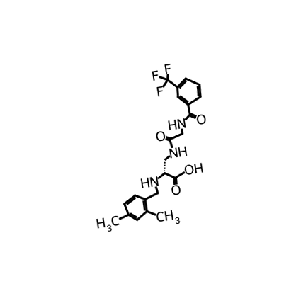 Cc1ccc(CN[C@H](CNC(=O)CNC(=O)c2cccc(C(F)(F)F)c2)C(=O)O)c(C)c1